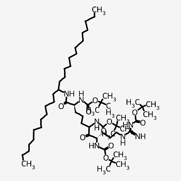 CCCCCCCCCCCCCC(CCCCCCCCCCCC)NC(=O)[C@H](CCCC(NC(=O)OC(C)(C)C)C(=O)[C@H](CCCNC(=N)NC(=O)OC(C)(C)C)NC(=O)OC(C)(C)C)NC(=O)OC(C)(C)C